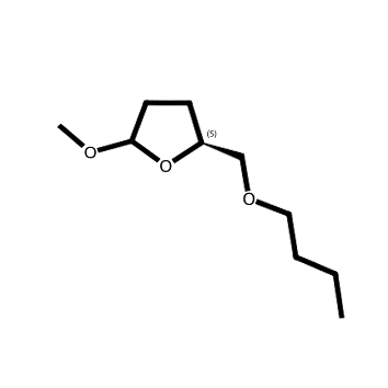 CCCCOC[C@@H]1CCC(OC)O1